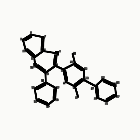 Cc1cc(-c2nc3ccccc3nc2-c2ccccc2)c(C)cc1-c1cccnc1